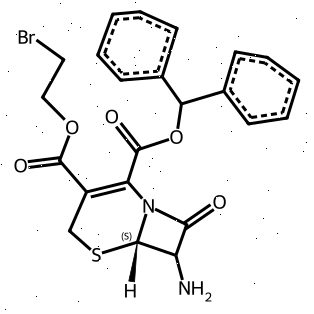 NC1C(=O)N2C(C(=O)OC(c3ccccc3)c3ccccc3)=C(C(=O)OCCBr)CS[C@@H]12